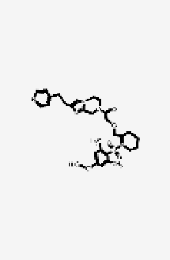 COc1cc(C)c(S(=O)(=O)N2CCCCC2COCC(=O)N2CCn3cc(CCc4ccncc4)nc3C2)c(C)c1